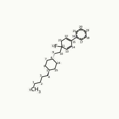 CCCCC[C@H]1CC[C@H](CCC2(F)C=CC(c3ccccc3)=CC2)CC1